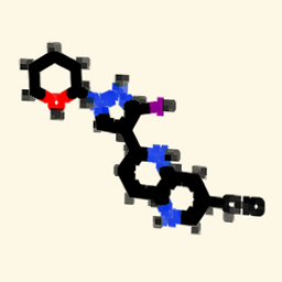 O=Cc1cnc2ccc(-c3cn(C4CCCCO4)nc3I)nc2c1